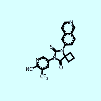 N#Cc1ncc(N2C(=O)C3(CCC3)N(c3ccc4cnccc4c3)C2=S)cc1C(F)(F)F